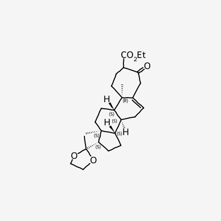 CCOC(=O)C1CC[C@@]2(C)C(=CC[C@H]3[C@@H]4CC[C@H](C5(C)OCCO5)[C@@]4(C)CC[C@@H]32)CC1=O